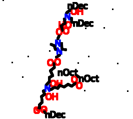 CCCCCCCCCCCOC(=O)CCCC(O)CN(CCCCCCC(=O)OCCN1CC(C)N(CCOC(=O)CCCN(CC(O)CCCCCCCCCC)CC(O)CCCCCCCCCC)CC1C)CC(O)CCCCCC(=O)OC(CCCCCCCC)CCCCCCCC